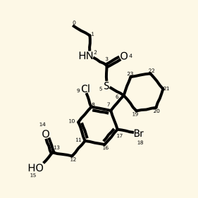 CCNC(=O)SC1(c2c(Cl)cc(CC(=O)O)cc2Br)CCCCC1